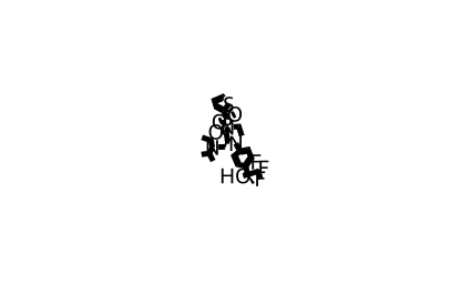 CC(=O)N(C[C@H]1CN(S(=O)(=O)c2cccs2)CCN1c1ccc([C@@](C)(O)C(F)(F)F)cc1)C(C)C